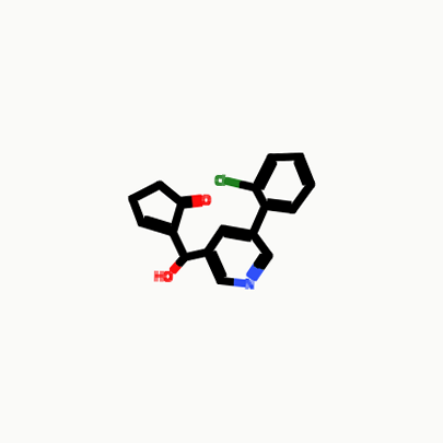 O=C1CCC=C1C(O)c1cncc(-c2ccccc2Cl)c1